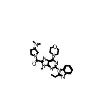 CCc1nc2ccccc2n1-c1nc(N2CCOCC2)c2nc(C(=O)N3CC[C@H](N(C)C)C3)n(C)c2n1